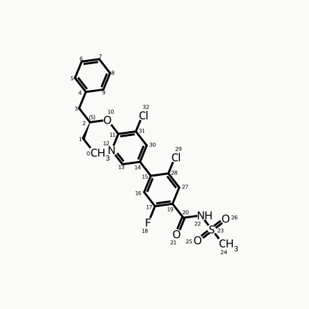 CC[C@@H](Cc1ccccc1)Oc1ncc(-c2cc(F)c(C(=O)NS(C)(=O)=O)cc2Cl)cc1Cl